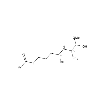 COC(O)[C@H](C)N[C@H](O)CCCSC(=O)C(C)C